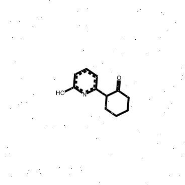 O=C1CCCCC1c1cccc(O)n1